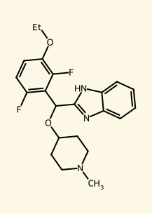 CCOc1ccc(F)c(C(OC2CCN(C)CC2)c2nc3ccccc3[nH]2)c1F